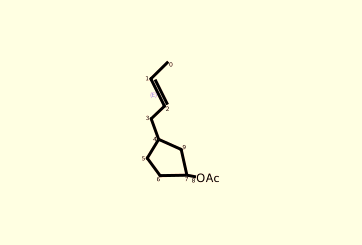 C/C=C/CC1CCC(OC(C)=O)C1